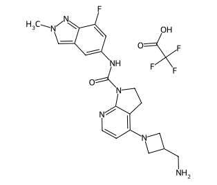 Cn1cc2cc(NC(=O)N3CCc4c(N5CC(CN)C5)ccnc43)cc(F)c2n1.O=C(O)C(F)(F)F